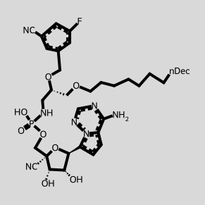 CCCCCCCCCCCCCCCCCOC[C@H](CNP(=O)(O)OC[C@@]1(C#N)O[C@@H](c2ccc3c(N)ncnn23)[C@H](O)[C@@H]1O)OCc1cc(F)cc(C#N)c1